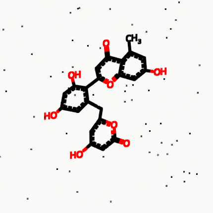 Cc1cc(O)cc2oc(-c3c(O)cc(O)cc3Cc3cc(O)cc(=O)o3)cc(=O)c12